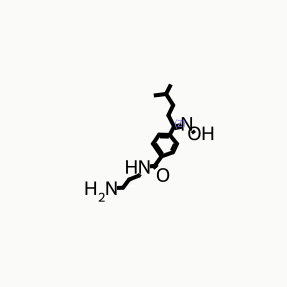 CC(C)CC/C(=N/O)c1ccc(C(=O)NCCCN)cc1